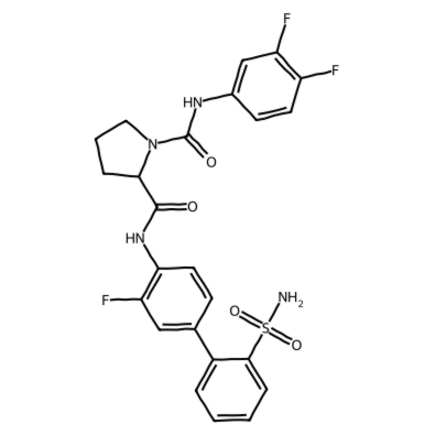 NS(=O)(=O)c1ccccc1-c1ccc(NC(=O)C2CCCN2C(=O)Nc2ccc(F)c(F)c2)c(F)c1